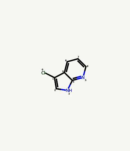 Clc1c[nH]c2ncccc12